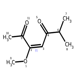 CO/C(=C/C(=O)C(C)C)C(C)=O